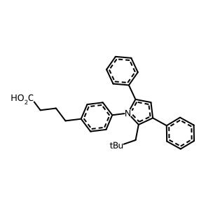 CC(C)(C)Cc1c(-c2ccccc2)cc(-c2ccccc2)n1-c1ccc(CCCC(=O)O)cc1